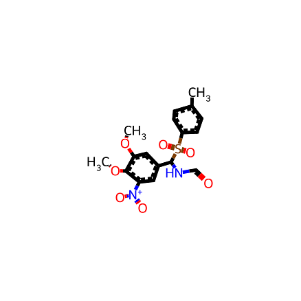 COc1cc(C(NC=O)S(=O)(=O)c2ccc(C)cc2)cc([N+](=O)[O-])c1OC